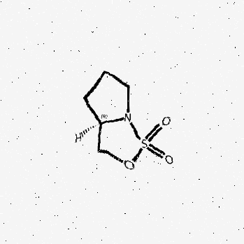 O=S1(=O)OC[C@H]2CCCN21